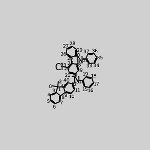 CC1(C)c2ccccc2-c2ccc(N(c3ccccc3)c3cc(Cl)c4c5ccccc5n(-c5ccccc5)c4c3)cc21